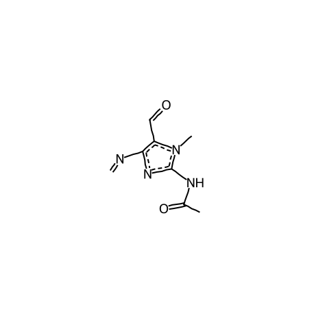 C=Nc1nc(NC(C)=O)n(C)c1C=O